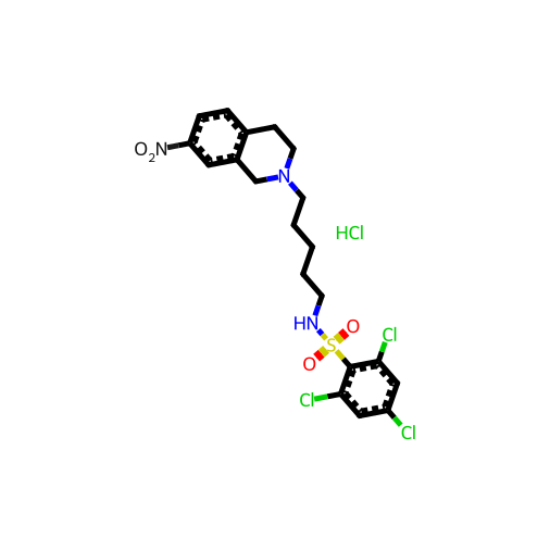 Cl.O=[N+]([O-])c1ccc2c(c1)CN(CCCCCNS(=O)(=O)c1c(Cl)cc(Cl)cc1Cl)CC2